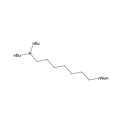 CCCCCCCCCCCCCCCCN(CCCC)CCCC